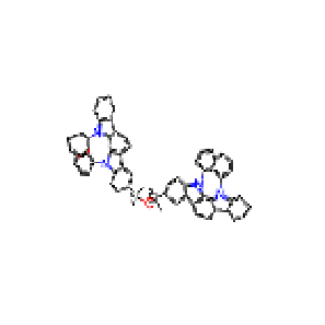 C[Si](C)(O[Si](C)(C)c1ccc2c(c1)c1ccc3c4ccccc4n(-c4ccccc4)c3c1n2-c1ccccc1)c1ccc2c(c1)c1ccc3c4ccccc4n(-c4ccccc4)c3c1n2-c1ccccc1